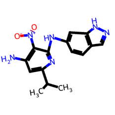 CC(C)c1cc(N)c([N+](=O)[O-])c(Nc2ccc3cn[nH]c3c2)n1